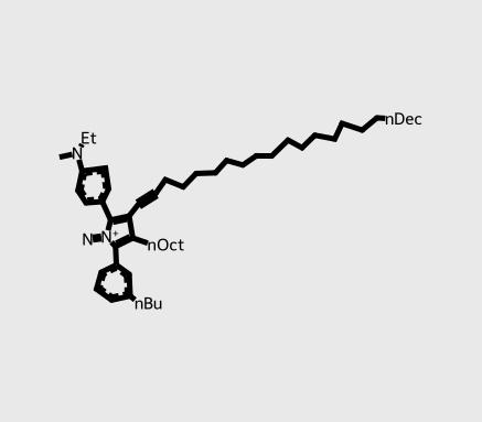 CCCCCCCCCCCCCCCCCCCCCCCCCC#CC1=C(c2ccc(N(C)CC)cc2)[N+](=[N-])C(c2cccc(CCCC)c2)=C1CCCCCCCC